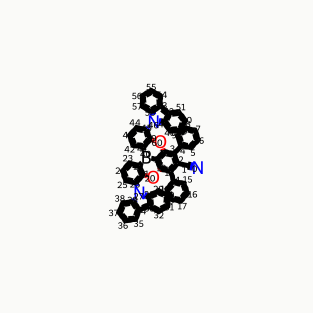 N#Cc1c(-c2ccccc2)c2c3c(c1-c1ccccc1)Oc1c(cccc1-n1c4ccccc4c4ccccc41)B3c1cccc(-n3c4ccccc4c4ccccc43)c1O2